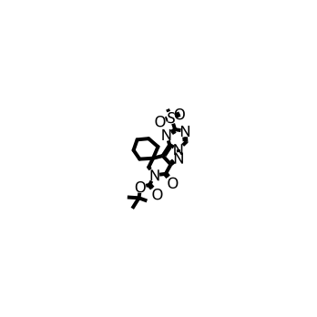 CC(C)(C)OC(=O)N1CC2(CCCCC2)c2c(nn3cnc(S(C)(=O)=O)nc23)C1=O